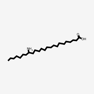 CCCCCCCC(N)CCCCCCCCCCCCCCCC(=O)O